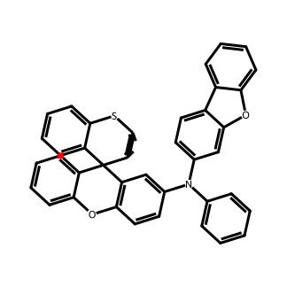 c1ccc(N(c2ccc3c(c2)C2(c4ccccc4O3)c3ccccc3Sc3ccccc32)c2ccc3c(c2)oc2ccccc23)cc1